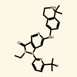 CCn1c(=O)c2cnc(Nc3ccc4c(c3)CCNC4(C)C)cc2n1-c1cccc(C(C)(C)F)n1